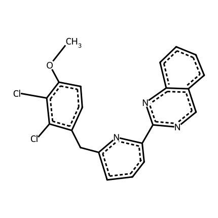 COc1ccc(Cc2cccc(-c3ncc4ccccc4n3)n2)c(Cl)c1Cl